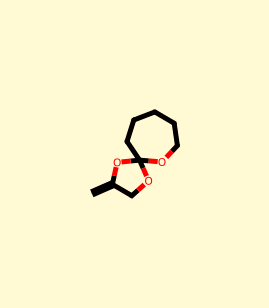 C=C1COC2(CCCCCO2)O1